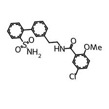 COc1ccc(Cl)cc1C(=O)NCCc1cccc(-c2ccccc2S(N)(=O)=O)c1